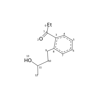 CCC(=O)c1ccccc1CCC(C)O